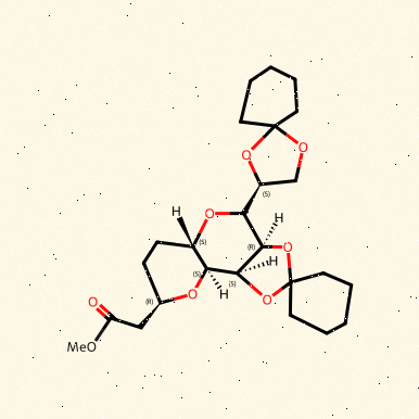 COC(=O)C[C@H]1CC[C@@H]2OC([C@@H]3COC4(CCCCC4)O3)[C@H]3OC4(CCCCC4)O[C@H]3[C@H]2O1